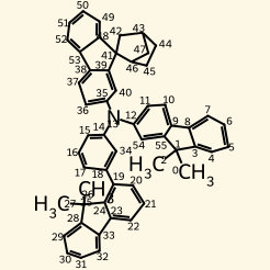 CC1(C)c2ccccc2-c2ccc(N(c3cccc(-c4cccc5c4C(C)(C)c4ccccc4-5)c3)c3ccc4c(c3)C3(CC5CCC3C5)c3ccccc3-4)cc21